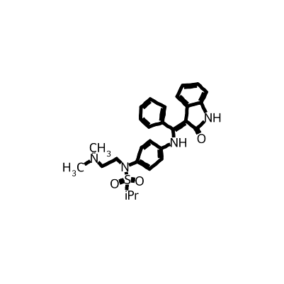 CC(C)S(=O)(=O)N(CCN(C)C)c1ccc(N/C(=C2\C(=O)Nc3ccccc32)c2ccccc2)cc1